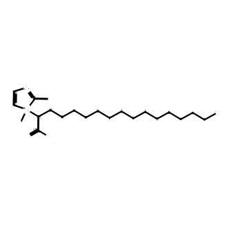 CCCCCCCCCCCCCCCC(C(=O)O)[N+]1(C)C=CN=C1C